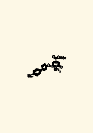 COC(=O)[C@@H]1CC(=O)N(C)[C@H](COc2ccc(-c3ccc(C#N)cc3)cc2)C1